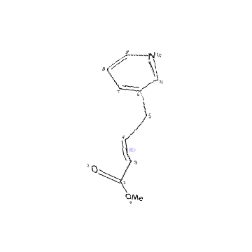 COC(=O)/C=C/Cc1cccnc1